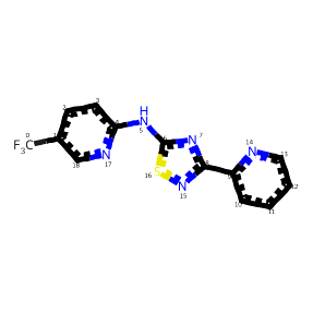 FC(F)(F)c1ccc(Nc2nc(-c3ccccn3)ns2)nc1